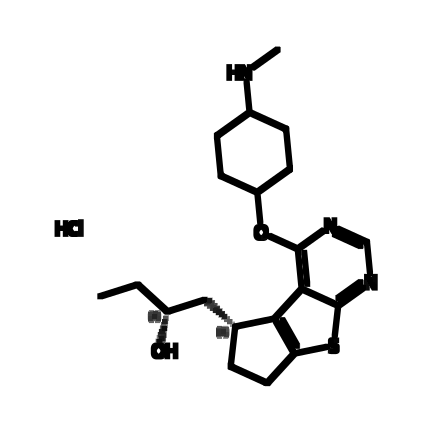 CC[C@@H](O)C[C@H]1CCc2sc3ncnc(OC4CCC(NC)CC4)c3c21.Cl